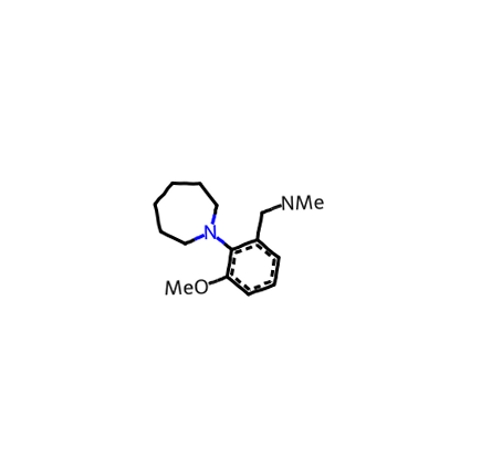 CNCc1cccc(OC)c1N1CCCCCC1